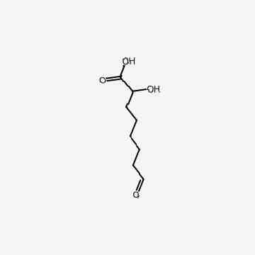 O=CCCCCCC(O)C(=O)O